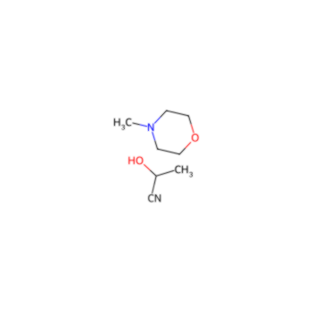 CC(O)C#N.CN1CCOCC1